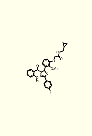 COc1c(OCC(=O)NCC2CC2)cccc1C1SC(c2ccc(F)cc2)=NN1C(=O)c1ccccc1O